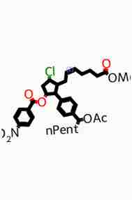 CCCCCC(OC(C)=O)c1ccc(C2C(OC(=O)c3ccc([N+](=O)[O-])cc3)CC(Cl)C2C/C=C\CCCC(=O)OC)cc1